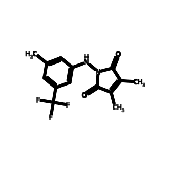 CC1=C(C)C(=O)N(Nc2cc(C)cc(C(F)(F)F)c2)C1=O